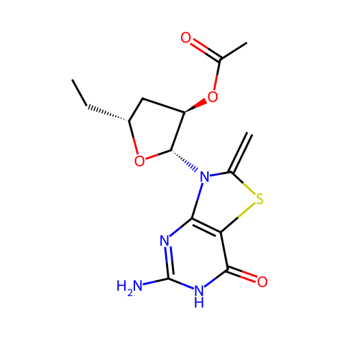 C=C1Sc2c(nc(N)[nH]c2=O)N1[C@@H]1O[C@H](CC)C[C@H]1OC(C)=O